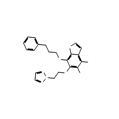 CC(=O)c1c(OCCn2nccn2)c(OCCCc2ccccc2)c2occc2c1C